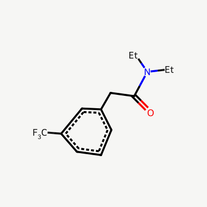 CCN(CC)C(=O)Cc1cccc(C(F)(F)F)c1